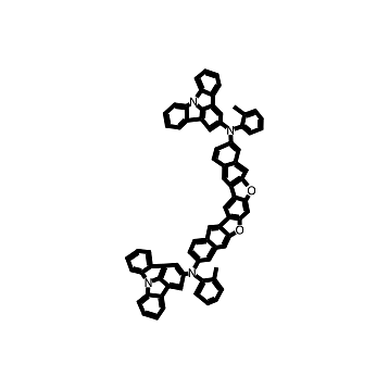 Cc1ccccc1N(c1ccc2cc3c(cc2c1)oc1cc2oc4cc5cc(N(c6cc7c8ccccc8n8c9ccccc9c(c6)c78)c6ccccc6C)ccc5cc4c2cc13)c1cc2c3ccccc3n3c4ccccc4c(c1)c23